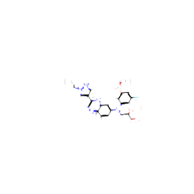 CCn1cc(-c2cnc3ccc(N(CC(O)CO)c4cc(F)cc(OC)c4)cc3n2)cn1